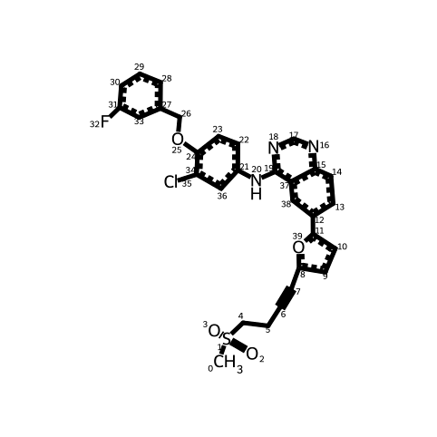 CS(=O)(=O)CCC#Cc1ccc(-c2ccc3ncnc(Nc4ccc(OCc5cccc(F)c5)c(Cl)c4)c3c2)o1